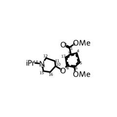 COC(=O)c1ccc(OC)c(OC2CCN(C(C)C)CC2)c1